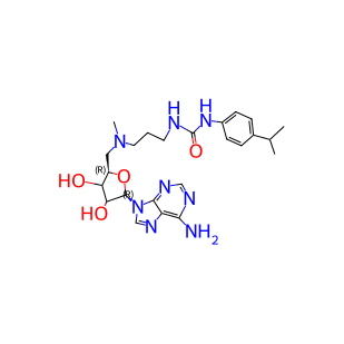 CC(C)c1ccc(NC(=O)NCCCN(C)C[C@H]2O[C@@H](n3cnc4c(N)ncnc43)C(O)C2O)cc1